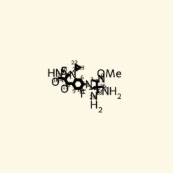 CO/N=C1\CN(c2cc3c(cc2F)c(=O)c2c(=O)[nH]sc2n3C2CC2)CC1(CN)CN